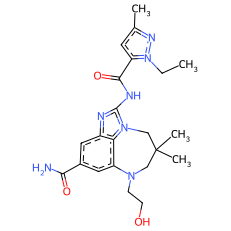 CCn1nc(C)cc1C(=O)Nc1nc2cc(C(N)=O)cc3c2n1CC(C)(C)CN3CCO